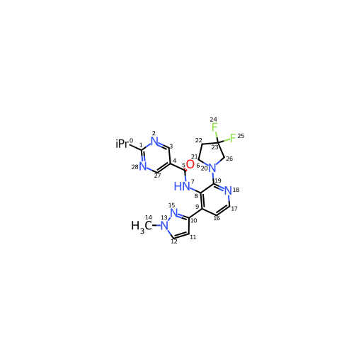 CC(C)c1ncc(C(=O)Nc2c(-c3ccn(C)n3)ccnc2N2CCC(F)(F)C2)cn1